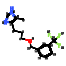 Cc1[nH]cnc1CCCOCc1cccc(C(F)(F)F)c1